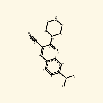 CN(C)c1ccc(C=C(C#N)C(=O)N2CCOCC2)cc1